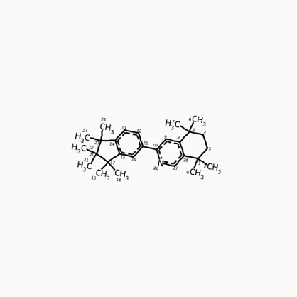 CC1(C)CCC(C)(C)c2cc(-c3ccc4c(c3)C(C)(C)C(C)(C)C4(C)C)ncc21